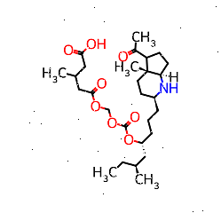 CC[C@H](C)C[C@@H](CCC[C@H]1CC[C@]2(C)C(C(C)=O)CC[C@H]2N1)OC(=O)OCOC(=O)CC(C)CC(=O)O